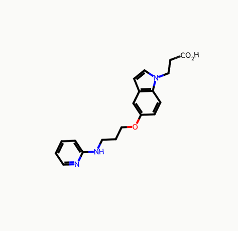 O=C(O)CCn1ccc2cc(OCCCNc3ccccn3)ccc21